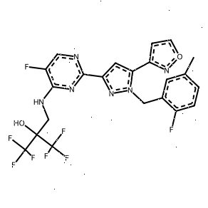 Cc1ccc(F)c(Cn2nc(-c3ncc(F)c(NCC(O)(C(F)(F)F)C(F)(F)F)n3)cc2-c2ccon2)c1